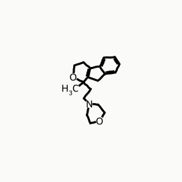 CC1(CCN2CCOCC2)OCCC2=C1Cc1ccccc12